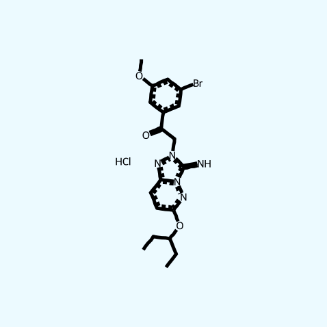 CCC(CC)Oc1ccc2nn(CC(=O)c3cc(Br)cc(OC)c3)c(=N)n2n1.Cl